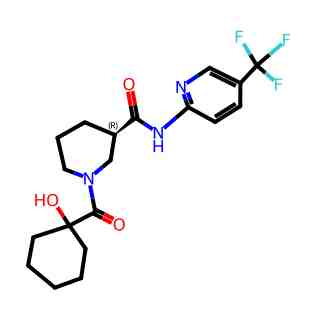 O=C(Nc1ccc(C(F)(F)F)cn1)[C@@H]1CCCN(C(=O)C2(O)CCCCC2)C1